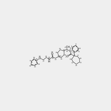 C[C@H](OC(=O)C1(c2ccccc2)CCCCCC1)C1CCN(CC(=O)NCCOc2ccccc2)CC1